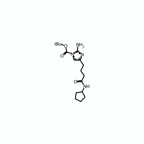 CC(C)(C)OC(=O)n1cc(CCCC(=O)NC2CCCC2)nc1N